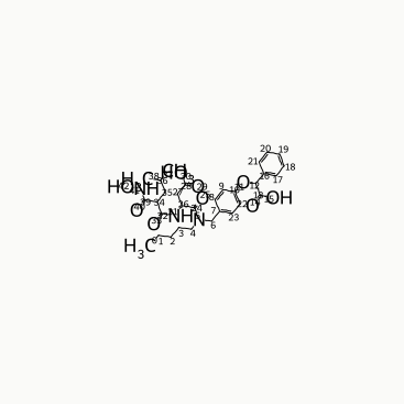 CCCCCN(Cc1ccc(O[C@H](C(=O)O)c2ccccc2)cc1)C(=O)C(CC(=O)O)NC(=O)C(CC(C)C)C(=O)NO